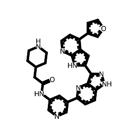 O=C(CC1CCNCC1)Nc1cncc(-c2ccc3[nH]nc(-c4cc5c(-c6ccoc6)ccnc5[nH]4)c3n2)c1